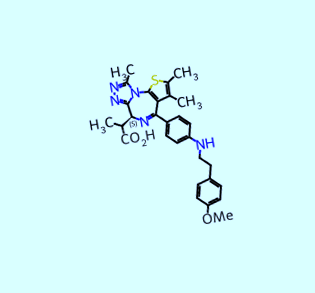 COc1ccc(CCNc2ccc(C3=N[C@@H](C(C)C(=O)O)c4nnc(C)n4-c4sc(C)c(C)c43)cc2)cc1